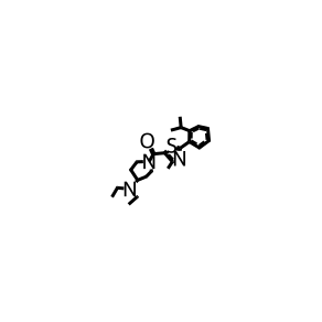 CCN(CC)C1CCN(C(=O)c2sc(-c3ccccc3C(C)C)nc2C)CC1